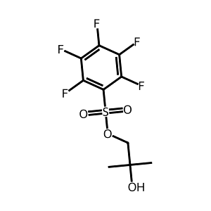 CC(C)(O)COS(=O)(=O)c1c(F)c(F)c(F)c(F)c1F